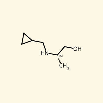 C[C@@H](CO)NCC1CC1